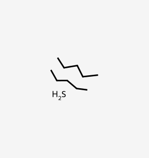 CCCCC.CCCCC.S